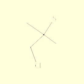 CC(C)([S])CCl